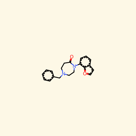 O=C1CCN(Cc2ccccc2)CCN1c1cccc2ccoc12